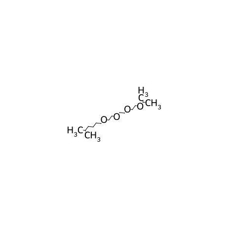 CC(C)CCCCOCCOCCOCCOC(C)C